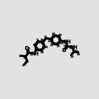 CCC(C)C(=O)Nc1ccc(Cc2ccc(NC(=O)NC(C)C)cc2)cc1